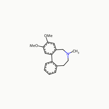 COc1cc2c(cc1OC)-c1ccccc1CCN(C)C2